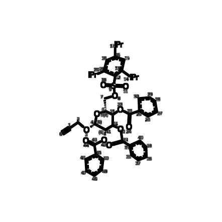 C#CCO[C@@H]1O[C@H](COS(=O)(=O)c2c(C(C)C)cc(C(C)C)cc2C(C)C)C(OC(=O)c2ccccc2)C(OC(=O)c2ccccc2)[C@@H]1OC(=O)c1ccccc1